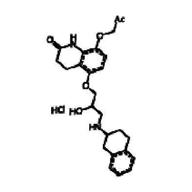 CC(=O)COc1ccc(OCC(O)CNC2CCc3ccccc3C2)c2c1NC(=O)CC2.Cl